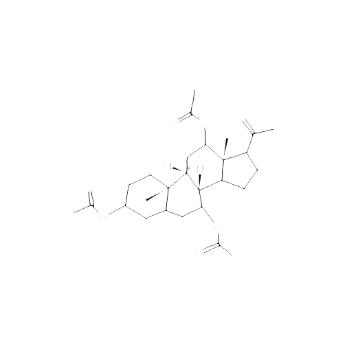 CC(=O)OC1CC[C@@]2(C)C(C1)CC(OC(C)=O)[C@@H]1[C@H]2CC(OC(C)=O)[C@]2(C)C(C(C)=O)CC[C@@H]12